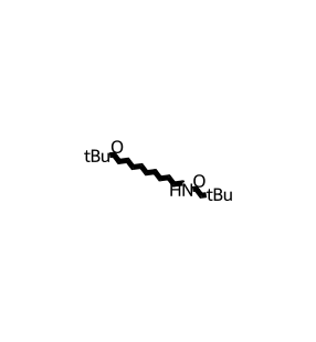 CC(C)(C)CC(=O)NCCCCCCCCCCC(=O)C(C)(C)C